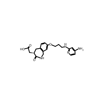 Nc1ccnc(NCCCOc2ccc3c(c2)CNC(=O)[C@@H](CC(=O)O)C3)c1